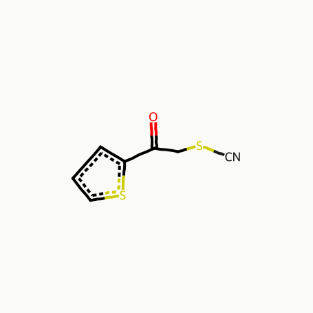 N#CSCC(=O)c1cccs1